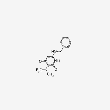 CC(n1c(=O)cc(NCc2ccccc2)[nH]c1=O)C(F)(F)F